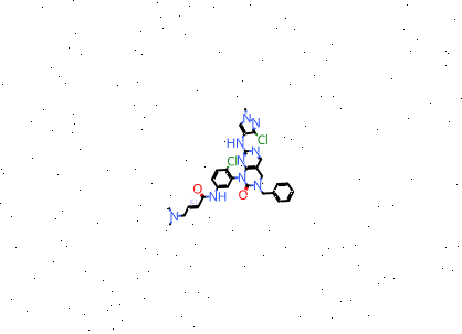 CN(C)C/C=C/C(=O)Nc1ccc(Cl)c(N2C(=O)N(Cc3ccccc3)Cc3cnc(Nc4cn(C)nc4Cl)nc32)c1